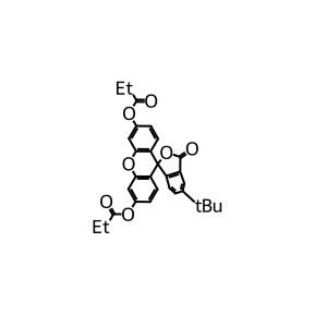 CCC(=O)Oc1ccc2c(c1)Oc1cc(OC(=O)CC)ccc1C21OC(=O)c2cc(C(C)(C)C)ccc21